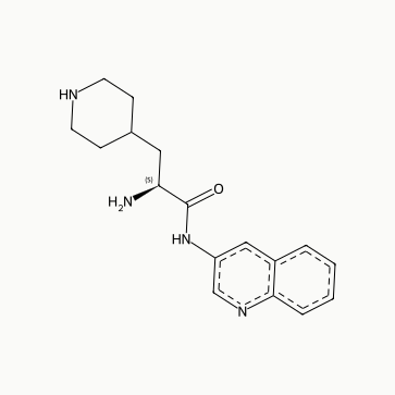 N[C@@H](CC1CCNCC1)C(=O)Nc1cnc2ccccc2c1